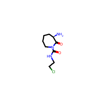 N[C@@H]1CCCCN(C(=O)NCCCl)C1=O